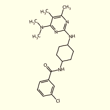 Cc1nc(NC2CCC(NC(=O)c3cccc(Cl)c3)CC2)nc(N(C)C)c1C